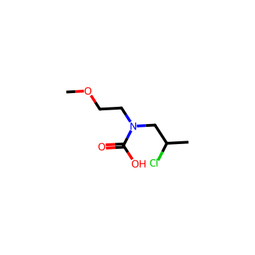 COCCN(CC(C)Cl)C(=O)O